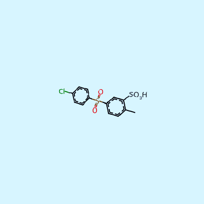 Cc1ccc(S(=O)(=O)c2ccc(Cl)cc2)cc1S(=O)(=O)O